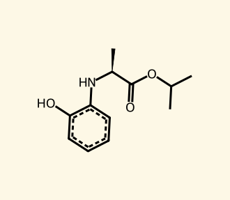 CC(C)OC(=O)[C@H](C)Nc1ccccc1O